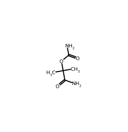 CC(C)(OC(N)=O)C(N)=O